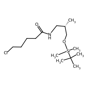 C[C@@H](CNC(=O)CCCCCl)CO[Si](C)(C)C(C)(C)C